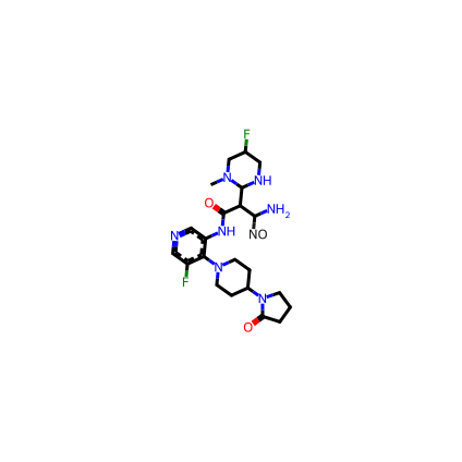 CN1CC(F)CNC1C(C(=O)Nc1cncc(F)c1N1CCC(N2CCCC2=O)CC1)C(N)N=O